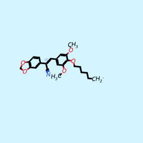 [CH2]CCCCCOc1c(OC)cc(/C=C(\C#N)c2ccc3c(c2)OCO3)cc1OC